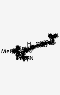 COc1ccc(C(OC[C@H]2OC(n3ccc(NC(=O)c4ccc(CCC(=O)Cc5ccc(OC(=O)OCCN(C)C(=O)OCC6c7ccccc7-c7ccccc76)cc5)cc4)nc3=O)C[C@H]2OP(OCCC#N)N(C(C)C)C(C)C)(c2ccccc2)c2ccc(OC)cc2)cc1